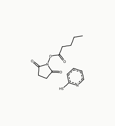 CCCCC(=O)ON1C(=O)CCC1=O.Sc1ccccn1